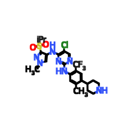 Cc1cc(Nc2ncc(Cl)c(Nc3cn(C)nc3S(=O)(=O)C(C)C)n2)c(C(F)(F)F)cc1C1CCNCC1